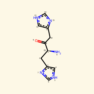 N[C@@H](Cc1c[nH]cn1)C(=O)Cc1c[nH]cn1